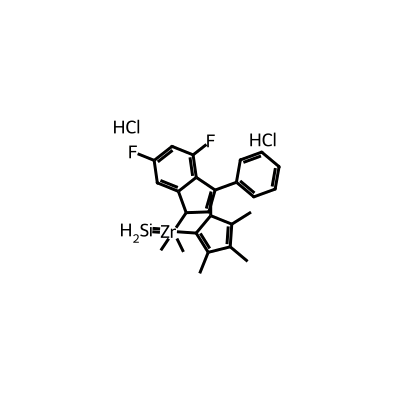 CC1=C(C)C(C)[C]([Zr]([CH3])([CH3])(=[SiH2])[CH]2C=C(c3ccccc3)c3c(F)cc(F)cc32)=C1C.Cl.Cl